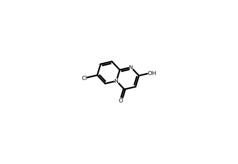 O=c1cc(O)nc2c[c]c(Cl)cn12